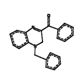 O=C(C1=Nc2ccccc2N(Cc2ccccc2)C1)c1ccccc1